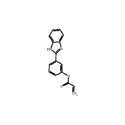 C=CC(=O)Oc1cccc(-c2nc3ccccc3[nH]2)c1